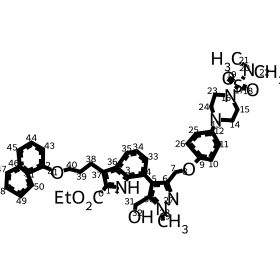 CCOC(=O)c1[nH]c2c(-c3c(COc4ccc(N5CCN(S(=O)(=O)N(C)C)CC5)cc4)nn(C)c3CO)cccc2c1CCCOc1cccc2ccccc12